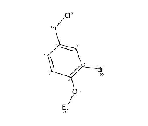 CCOc1ccc(CCl)cc1Br